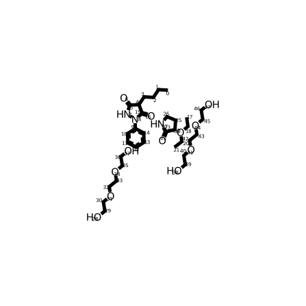 CCCCC1C(=O)NN(c2ccccc2)C1=O.CCOCC.O=C1CCCN1.OCCOCCOCCO.OCCOCCOCCO